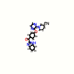 N#C[C@@H]1CCCN(c2nccnc2Oc2ccc(C(=O)c3nc4ccccc4[nH]3)cc2)C1